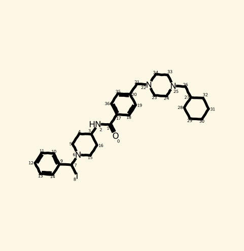 O=C(NC1CCN(C(I)c2ccccc2)CC1)c1ccc(CN2CCN(CC3CCCCC3)CC2)cc1